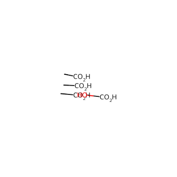 CC(=O)O.CC(=O)O.CC(=O)O.O=C(O)O